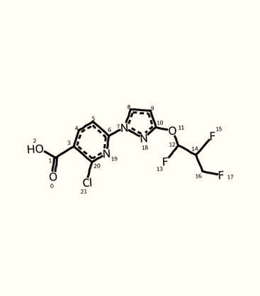 O=C(O)c1ccc(-n2ccc(OC(F)C(F)CF)n2)nc1Cl